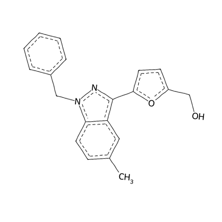 Cc1ccc2c(c1)c(-c1ccc(CO)o1)nn2Cc1ccccc1